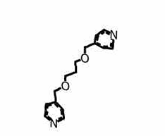 c1cc(COCCCOCc2ccncc2)ccn1